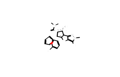 CN(C)C(=O)[C@H]1[C@@H](O)[C@@]2(O)c3nn(C)c(Cl)c3O[C@@]2(c2ccc(Br)cc2)[C@@H]1c1ccccc1